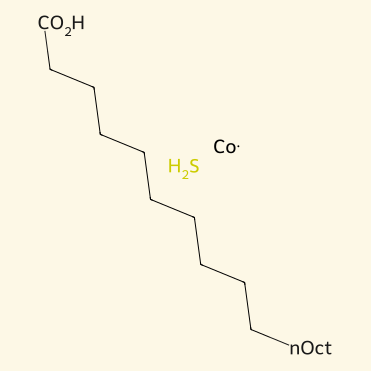 CCCCCCCCCCCCCCCCCC(=O)O.S.[Co]